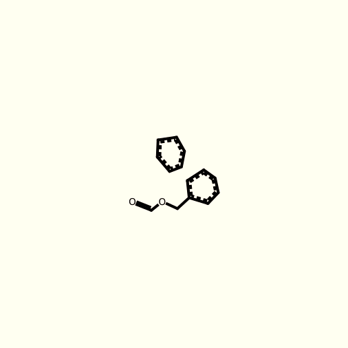 O=COCc1ccccc1.c1ccccc1